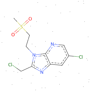 CS(=O)(=O)CCn1c(CCl)nc2cc(Cl)cnc21